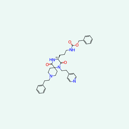 O=C(NCCC[C@@H]1NC(=O)C2(CCN(CCc3ccccc3)CC2)N(CCc2ccncc2)C1=O)OCc1ccccc1